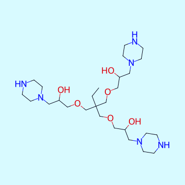 CCC(COCC(O)CN1CCNCC1)(COCC(O)CN1CCNCC1)COCC(O)CN1CCNCC1